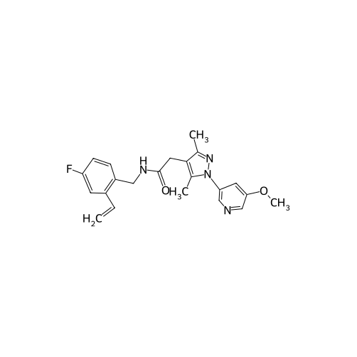 C=Cc1cc(F)ccc1CNC(=O)Cc1c(C)nn(-c2cncc(OC)c2)c1C